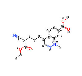 CCOC(=O)C(C#N)CCCC(/C=N\N(C)C)c1ccc(C(=O)OC)cc1